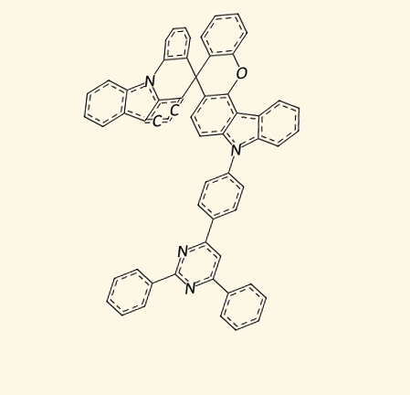 c1ccc(-c2cc(-c3ccc(-n4c5ccccc5c5c6c(ccc54)C4(c5ccccc5O6)c5ccccc5-n5c6ccccc6c6cccc4c65)cc3)nc(-c3ccccc3)n2)cc1